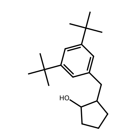 CC(C)(C)c1cc(CC2CCCC2O)cc(C(C)(C)C)c1